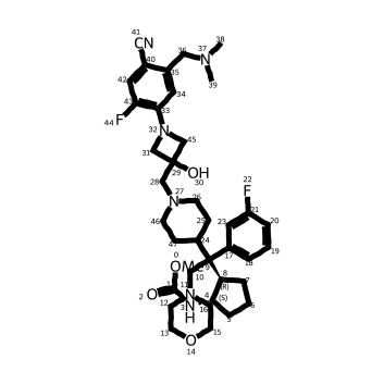 COC(=O)N[C@H]1CCC[C@@H]1C(CN1CCOCC1)(c1cccc(F)c1)C1CCN(CC2(O)CN(c3cc(CN(C)C)c(C#N)cc3F)C2)CC1